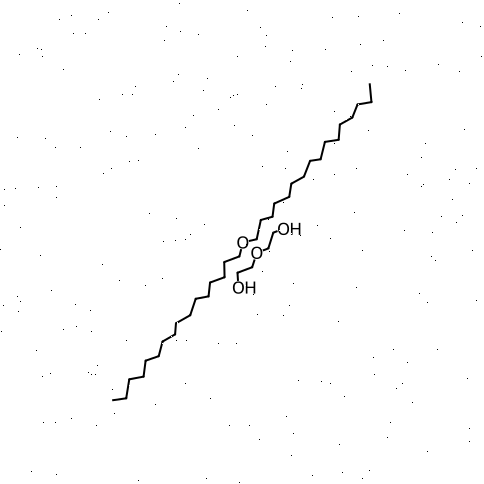 CCCCCCCCCCCCCCCCOCCCCCCCCCCCCCCCC.OCCOCCO